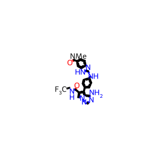 CNC(=O)c1ccc2nc(Nc3ccc(-c4c(C(=O)NCC(F)(F)F)cn5ncnc(N)c45)cc3)[nH]c2c1